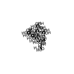 CC(=O)N[C@@H]1[C@@H](O)[C@H](O[C@@H]2O[C@H](CO)[C@@H](O[C@@H]3O[C@H](CO[C@H]4O[C@H](CO[C@H]5O[C@H](CO)[C@@H](O)[C@H](O)[C@@H]5O)[C@@H](O)[C@H](O[C@H]5O[C@H](CO)[C@@H](O)[C@H](O)[C@@H]5O)[C@@H]4O)[C@@H](O)[C@H](O[C@H]4O[C@H](CO)[C@@H](O)[C@H](O)[C@@H]4O)[C@@H]3O)[C@H](O)[C@H]2NC(C)=O)[C@@H](CO)O[C@H]1NC(=O)C[C@H](N)C(=O)O